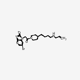 C=CCNCCCCC1CCN(C(=O)Cn2c(=O)sc3ncc(Br)cc32)CC1